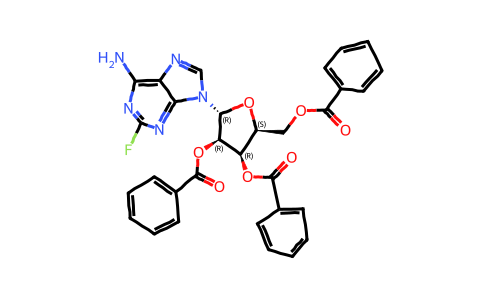 Nc1nc(F)nc2c1ncn2[C@@H]1O[C@@H](COC(=O)c2ccccc2)[C@@H](OC(=O)c2ccccc2)[C@H]1OC(=O)c1ccccc1